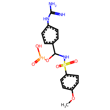 COc1ccc(S(=O)(=O)NC(O[PH](=O)O)c2ccc(NC(=N)N)cc2)cc1